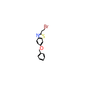 BrCCc1nc2ccc(OCc3ccccc3)cc2s1